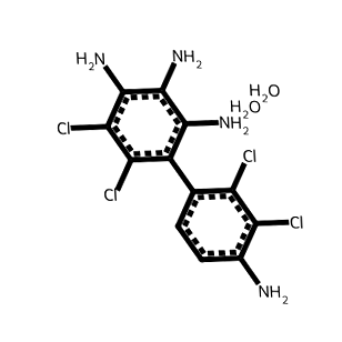 Nc1ccc(-c2c(N)c(N)c(N)c(Cl)c2Cl)c(Cl)c1Cl.O.O